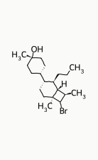 CCC[C@H]1[C@@H]2[C@@H](C)C(Br)[C@@]2(C)CC[C@@H]1[C@H]1CC[C@@](C)(O)CC1